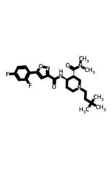 CN(C)C(=O)[C@@H]1CN(CCC(C)(C)C)CC[C@H]1NC(=O)c1cc(-c2ccc(F)cc2F)on1